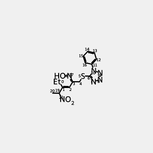 CCC(=CC(CSc1nnnn1-c1ccccc1)=NO)C(C)[N+](=O)[O-]